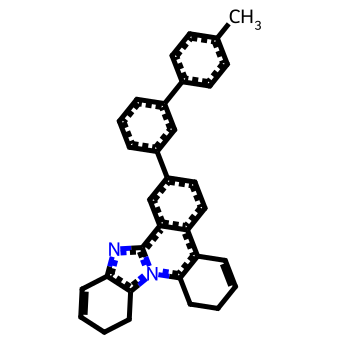 Cc1ccc(-c2cccc(-c3ccc4c5c(n6c7c(nc6c4c3)C=CCC7)CCC=C5)c2)cc1